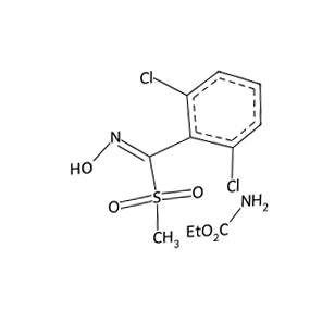 CCOC(N)=O.CS(=O)(=O)C(=NO)c1c(Cl)cccc1Cl